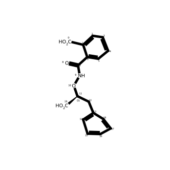 O=C(O)c1ccccc1C(=O)NO[C@@H](Cc1ccccc1)C(=O)O